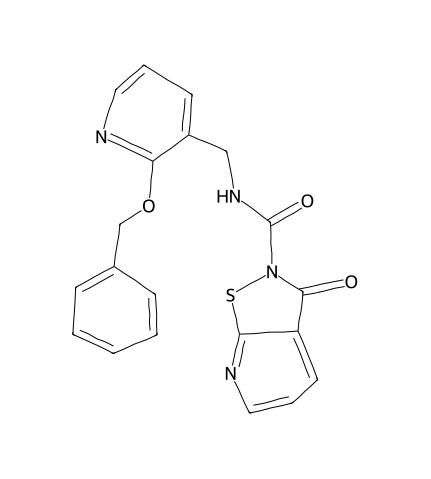 O=C(NCc1cccnc1OCc1ccccc1)n1sc2ncccc2c1=O